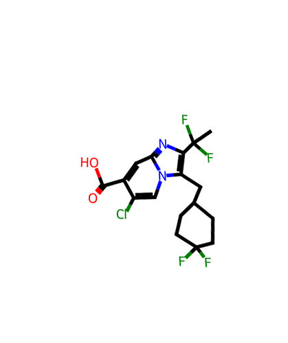 CC(F)(F)c1nc2cc(C(=O)O)c(Cl)cn2c1CC1CCC(F)(F)CC1